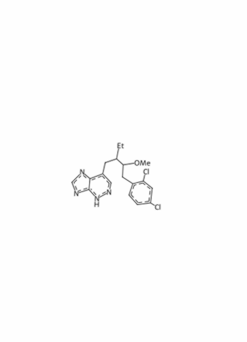 CCC(Cc1cn[nH]c2ncnc1-2)C(Cc1ccc(Cl)cc1Cl)OC